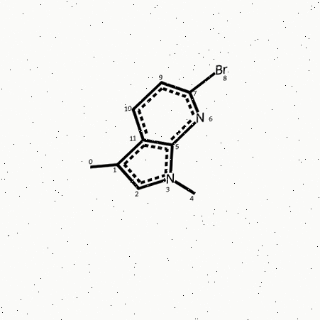 Cc1cn(C)c2nc(Br)ccc12